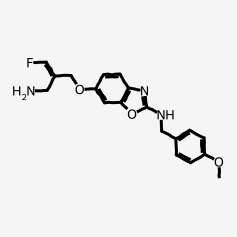 COc1ccc(CNc2nc3ccc(OC/C(=C/F)CN)cc3o2)cc1